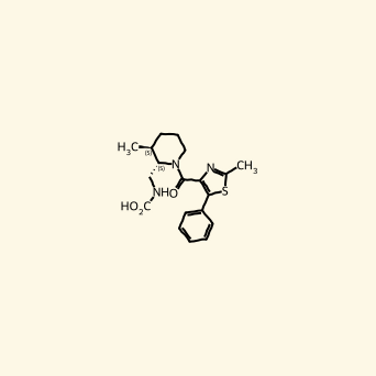 Cc1nc(C(=O)N2CCC[C@H](C)[C@H]2CNC(=O)O)c(-c2ccccc2)s1